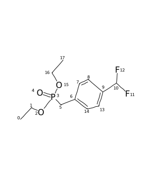 CCOP(=O)(Cc1ccc(C(F)F)cc1)OCC